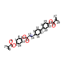 C=C(C)C(=O)Oc1ccc(OC(=O)/C=C/c2ccc(-c3ccc(OC(=O)C(=C)C)cc3)cc2)cc1